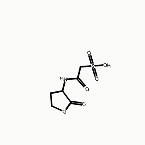 O=C(CS(=O)(=O)O)NC1CCOC1=O